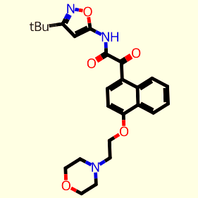 CC(C)(C)c1cc(NC(=O)C(=O)c2ccc(OCCN3CCOCC3)c3ccccc23)on1